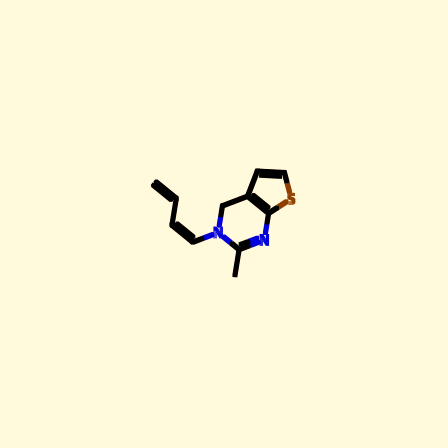 C=C/C=C\N1Cc2ccsc2N=C1C